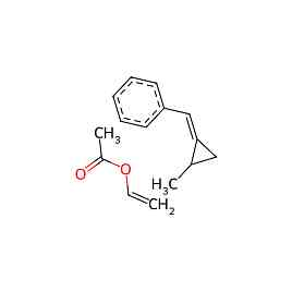 C=COC(C)=O.CC1CC1=Cc1ccccc1